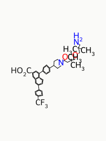 CC(C)(CN)COCC(C)(C)CC(=O)N1CCC(c2ccc(-c3cc(C(=O)O)cc4cc(-c5ccc(C(F)(F)F)cc5)ccc34)cc2)CC1